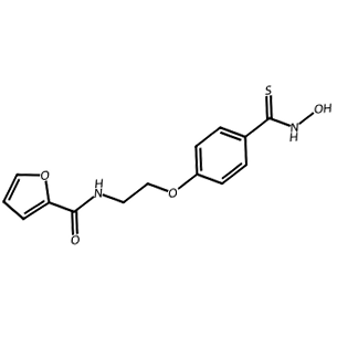 O=C(NCCOc1ccc(C(=S)NO)cc1)c1ccco1